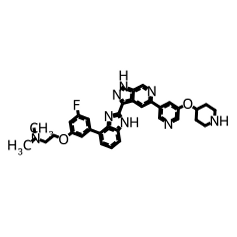 CN(C)CCOc1cc(F)cc(-c2cccc3[nH]c(-c4n[nH]c5cnc(-c6cncc(OC7CCNCC7)c6)cc45)nc23)c1